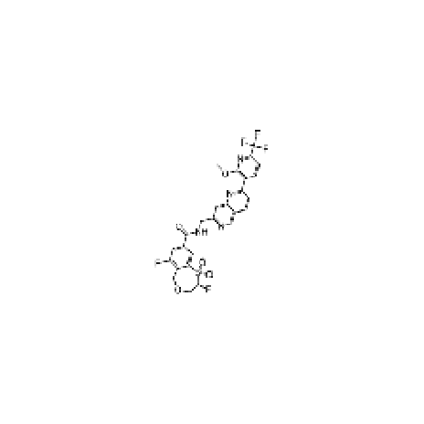 COc1nc(C(F)(F)F)ccc1-c1ccc2cnc(CNC(=O)c3cc(F)c4c(c3)S(=O)(=O)[C@@H](F)COC4)cc2n1